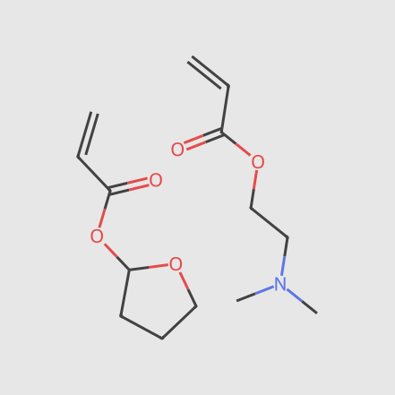 C=CC(=O)OC1CCCO1.C=CC(=O)OCCN(C)C